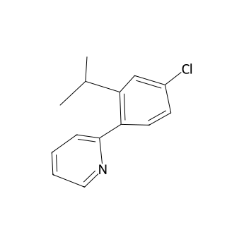 CC(C)c1cc(Cl)ccc1-c1ccccn1